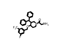 NCC(=O)N1CCC(OCc2cc(F)cc(C(F)(F)F)c2)C(C(c2ccccc2)c2ccccc2)C1